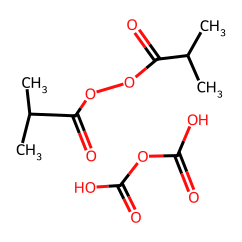 CC(C)C(=O)OOC(=O)C(C)C.O=C(O)OC(=O)O